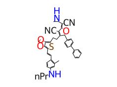 CCCNc1ccc(/C=C/c2sc(CCC3=C(C#N)/C(=C(/C#N)C4CN4)OC3c3ccc(-c4ccccc4)cc3)c3c2OCO3)c(C)c1